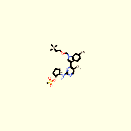 C[Si](C)(C)CCOCn1cc(-c2nc(N[C@H]3CCC[C@H]3OS(C)(=O)=O)ncc2C(F)(F)F)c2ccc(C#N)cc21